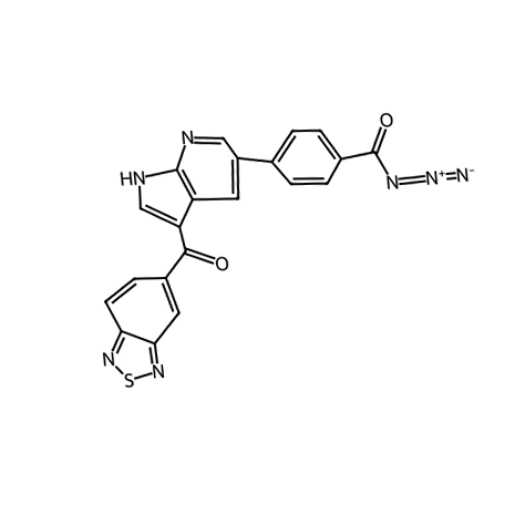 [N-]=[N+]=NC(=O)c1ccc(-c2cnc3[nH]cc(C(=O)c4ccc5nsnc5c4)c3c2)cc1